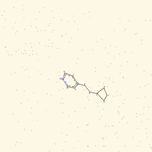 c1cc(CCC2CCC2)ccn1